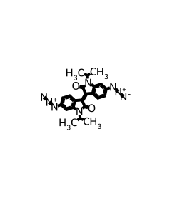 CC(C)N1C(=O)/C(=C2/C(=O)N(C(C)C)c3cc(N=[N+]=[N-])ccc32)c2ccc(N=[N+]=[N-])cc21